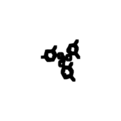 Cc1ccc(OB(Oc2ccc(C)cc2C)Oc2ccc(C)cc2C)c(C)c1